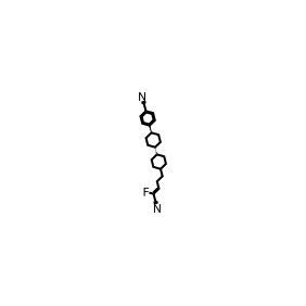 N#C/C(F)=C/CCC1CCC([C@H]2CC[C@H](c3ccc(C#N)cc3)CC2)CC1